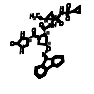 C=C[C@@H]1C[C@]1(NC(=O)[C@@H]1C[C@@H](ON=C2c3ccccc3-c3ccccc32)CN1C(=O)[C@@H]1CNC(=O)N1)C(=O)NS(=O)(=O)C1CC1